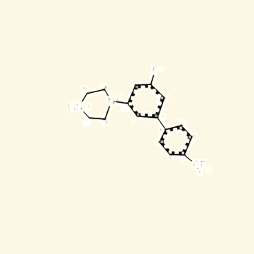 Fc1cc(-c2ccc(C(F)(F)F)cc2)cc(N2CCNCC2)c1